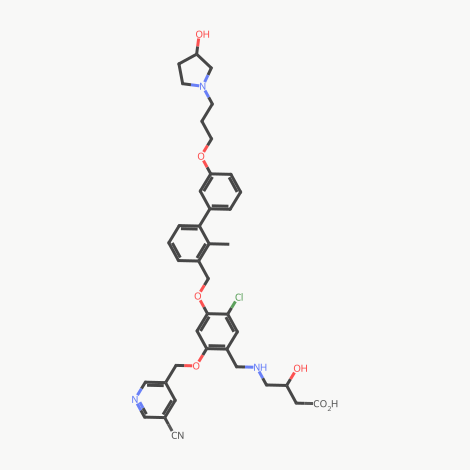 Cc1c(COc2cc(OCc3cncc(C#N)c3)c(CNCC(O)CC(=O)O)cc2Cl)cccc1-c1cccc(OCCCN2CCC(O)C2)c1